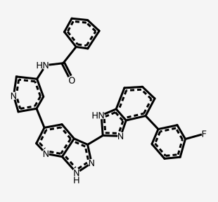 O=C(Nc1cncc(-c2cnc3[nH]nc(-c4nc5c(-c6cccc(F)c6)cccc5[nH]4)c3c2)c1)c1ccccc1